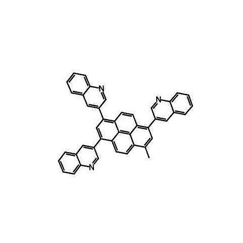 Cc1cc(-c2cnc3ccccc3c2)c2ccc3c(-c4cnc5ccccc5c4)cc(-c4cnc5ccccc5c4)c4ccc1c2c43